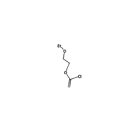 C=C(Cl)OCCOCC